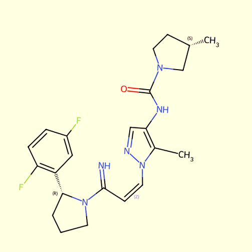 Cc1c(NC(=O)N2CC[C@H](C)C2)cnn1/C=C\C(=N)N1CCC[C@@H]1c1cc(F)ccc1F